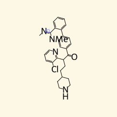 C/N=C(\NC)c1ccccc1-c1ccc(C(=O)C(CCC2CCNCC2)c2ncccc2Cl)cc1